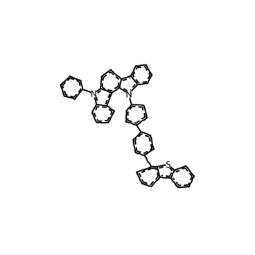 c1ccc(-n2c3ccccc3c3c2ccc2c4ccccc4n(-c4ccc(-c5ccc(-c6cccc7c6sc6ccccc67)cc5)cc4)c23)cc1